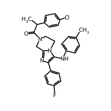 Cc1ccc(Nc2c(-c3ccc(F)cc3)nc3n2CCN(C(=O)C(C)c2ccc(Cl)cc2)C3)cc1